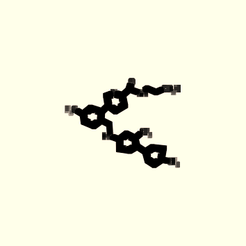 O=C(O)CCNC(=O)c1ccc(-c2cc(C(F)(F)F)ccc2CNc2ccc(-c3ccc(C(F)(F)F)cc3)c(C(F)(F)F)c2)cn1